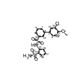 COc1ncc(-c2cccc(S(=O)(=O)Nc3ccsc3S(N)(=O)=O)c2)cc1Cl